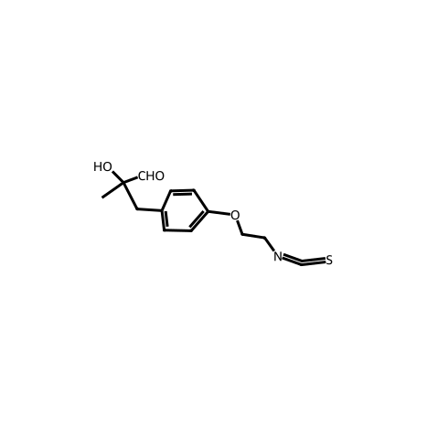 CC(O)(C=O)Cc1ccc(OCCN=C=S)cc1